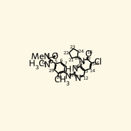 CN=S(=O)(NC)c1ccc(Nc2ncc3cc(Cl)c(=O)n(C4CCCC4)c3n2)c(C)c1